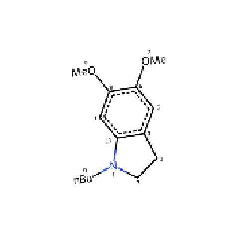 CCCCN1CCc2cc(OC)c(OC)cc21